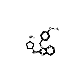 COc1ccc(Cn2c(N[C@H]3CC[C@H](N)C3)nc3cccnc32)cc1